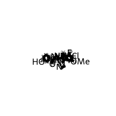 COc1cc2c(-n3ccnc3)c(-c3nc(C(=O)N4CCC[C@@H](O)C4)n[nH]3)n(C)c2c(F)c1Cl